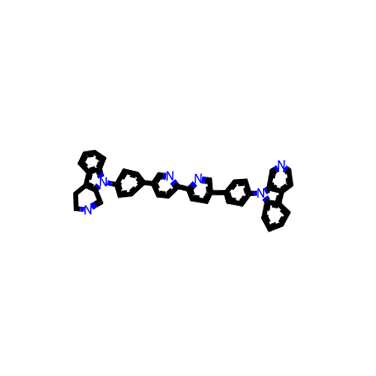 C1=NCCc2c1n(-c1ccc(-c3ccc(-c4ccc(-c5ccc(-n6c7ccccc7c7ccncc76)cc5)cn4)nc3)cc1)c1ccccc21